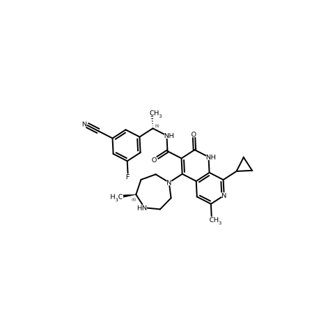 Cc1cc2c(N3CCN[C@@H](C)CC3)c(C(=O)N[C@@H](C)c3cc(F)cc(C#N)c3)c(=O)[nH]c2c(C2CC2)n1